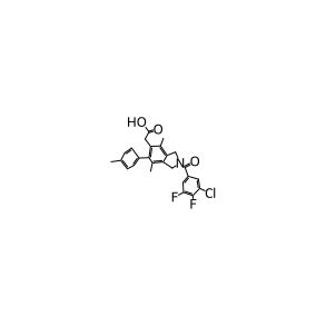 Cc1ccc(-c2c(C)c3c(c(C)c2CC(=O)O)CN(C(=O)c2cc(F)c(F)c(Cl)c2)C3)cc1